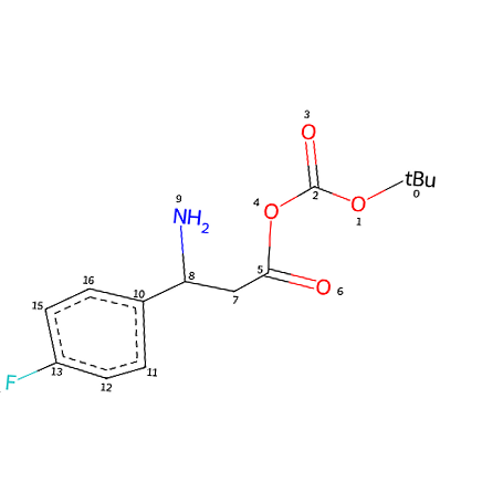 CC(C)(C)OC(=O)OC(=O)CC(N)c1ccc(F)cc1